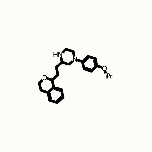 CC(C)Oc1ccc(N2CCNC(CCC3OCCc4ccccc43)C2)cc1